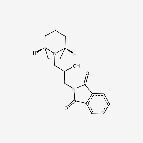 O=C1c2ccccc2C(=O)N1CC(O)CN1[C@@H]2C[CH]C[C@H]1CC2